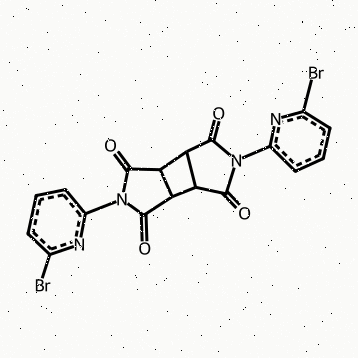 O=C1C2C(C(=O)N1c1cccc(Br)n1)C1C(=O)N(c3cccc(Br)n3)C(=O)C21